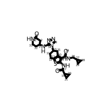 O=C1CC(Nc2nncn2C2CCc3sc(NC(=O)C4CC4)c(C(=O)NCC4CC4)c3C2)CCN1